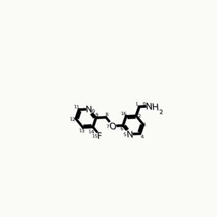 NCc1ccnc(OCc2ncccc2F)c1